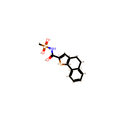 CS(=O)(=O)NC(=O)c1cc2c(s1)-c1ccccc1CC2